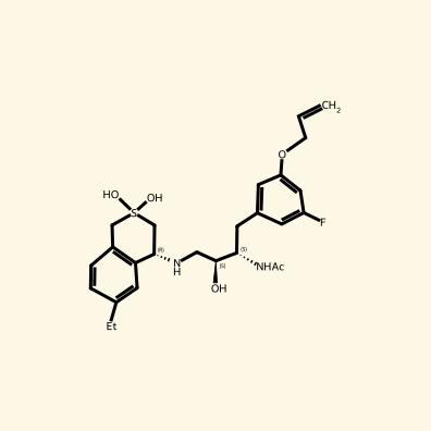 C=CCOc1cc(F)cc(C[C@H](NC(C)=O)[C@@H](O)CN[C@H]2CS(O)(O)Cc3ccc(CC)cc32)c1